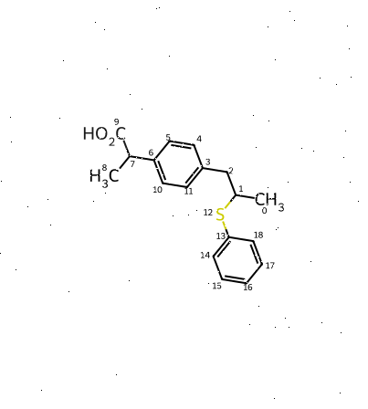 CC(Cc1ccc(C(C)C(=O)O)cc1)Sc1ccccc1